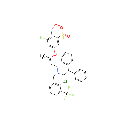 C[C@H](CCN(Cc1cccc(C(F)(F)F)c1Cl)CC(c1ccccc1)c1ccccc1)Oc1cc(F)c(CO)c([SH](=O)=O)c1